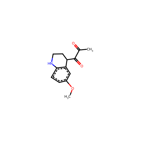 COc1ccc2c(c1)C(C(=O)C(C)=O)CCN2